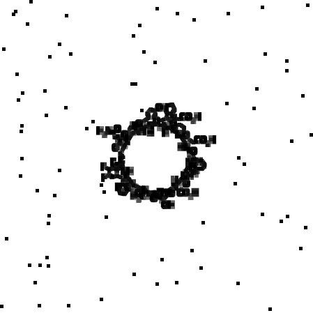 CCCC[C@H]1C(=O)N2C[C@@H](O)C[C@@H]2C(=O)N[C@@H](CC(=O)O)C(=O)N[C@@H](C(C)C)C(=O)N(C)[C@@H](Cc2ccccc2)C(=O)N[C@@H](CCC(=O)O)C(=O)N2CCCC[C@@H]2C(=O)N[C@@H](Cc2cn(CC(=O)O)c3ccccc23)C(=O)N[C@@H](Cc2ccc(O)cc2)C(=O)N[C@@H](CC(C)C)C(=O)N[C@H](C(=O)NCC(N)=O)CSCC(=O)N[C@@H](Cc2cc(F)c(F)c(F)c2)C(=O)N(C)[C@@H](Cc2ccccc2)C(=O)N1C